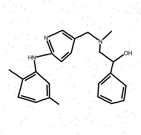 Cc1ccc(C)c(Nc2ccc(CN(C)CC(O)c3ccccc3)cn2)c1